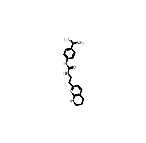 CC(C)c1ccc(NC(=O)NCCc2ccc3c(n2)NCCC3)cc1